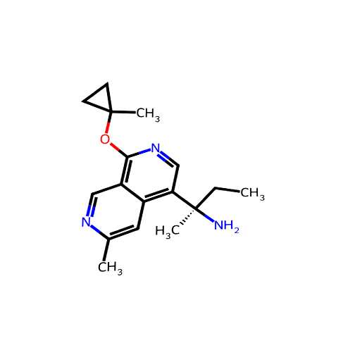 CC[C@@](C)(N)c1cnc(OC2(C)CC2)c2cnc(C)cc12